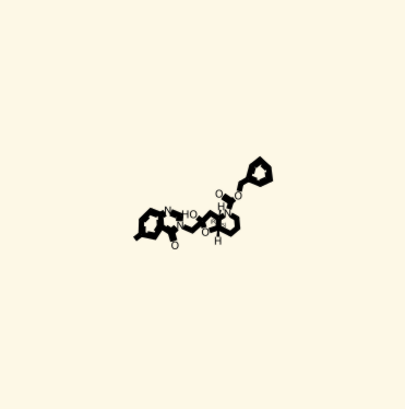 Cc1ccc2ncn(CC3(O)C[C@@H]4[C@H](CCCN4C(=O)OCc4ccccc4)O3)c(=O)c2c1